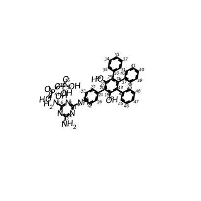 Nc1nc(N)nc(N)n1.O=P(O)(O)OP(=O)(O)O.Oc1c(-c2ccccc2)c(O)c(-c2ccccc2)c(-c2ccccc2)c1-c1ccccc1